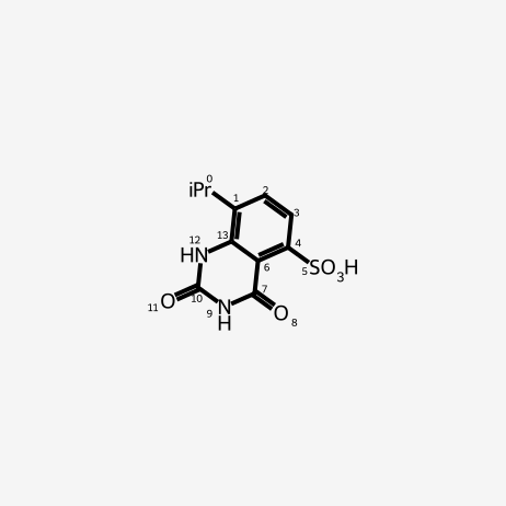 CC(C)c1ccc(S(=O)(=O)O)c2c(=O)[nH]c(=O)[nH]c12